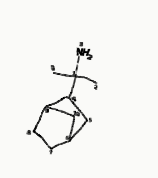 CC(C)(N)C1CC2CCC1C2